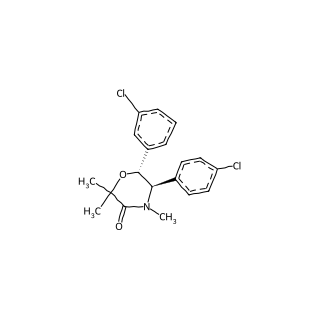 CN1C(=O)C(C)(C)O[C@H](c2cccc(Cl)c2)[C@H]1c1ccc(Cl)cc1